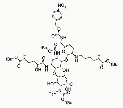 CN(C(=O)OC(C)(C)C)[C@@H]1[C@@H](O)[C@@H](O[C@@H]2[C@@H](O)[C@H](O[C@H]3OC(CNC(=O)OCc4ccc([N+](=O)[O-])cc4)=CC[C@H]3NCCCCNC(=O)OC(C)(C)C)[C@@H](NC(=O)OC(C)(C)C)C[C@H]2NC(=O)[C@@H](O)CCNC(=O)OC(C)(C)C)OC[C@]1(C)O